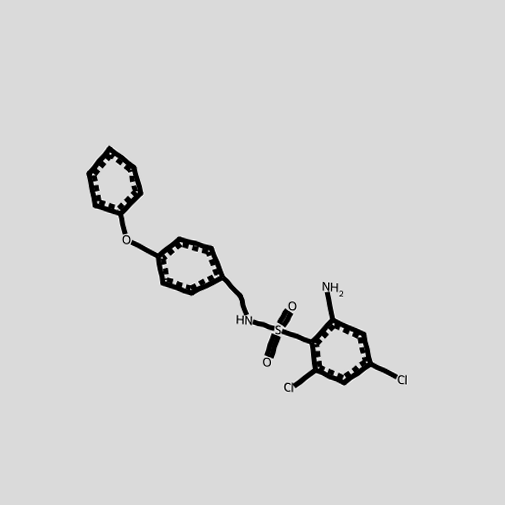 Nc1cc(Cl)cc(Cl)c1S(=O)(=O)NCc1ccc(Oc2ccccc2)cc1